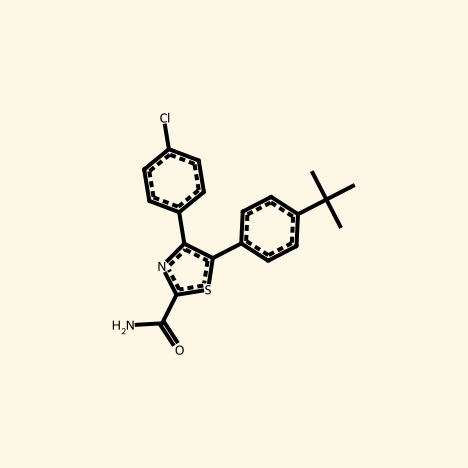 CC(C)(C)c1ccc(-c2sc(C(N)=O)nc2-c2ccc(Cl)cc2)cc1